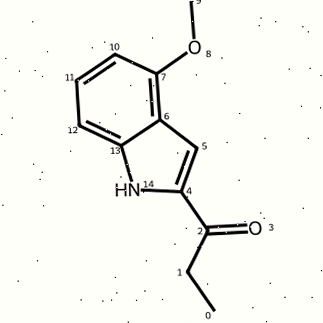 CCC(=O)c1cc2c(OC)cccc2[nH]1